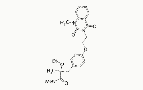 CCOC(C)(Cc1ccc(OCCn2c(=O)c3ccccc3n(C)c2=O)cc1)C(=O)NC